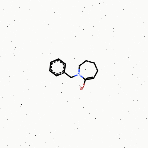 BrC1=CCCCCN1Cc1ccccc1